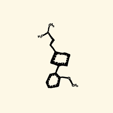 COc1ccccc1-c1cccc(CCN(C)C)c1